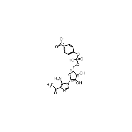 CC(=O)c1ncn([C@@H]2O[C@H](COP(=O)(O)Oc3ccc([N+](=O)[O-])cc3)[C@@H](O)[C@H]2O)c1N